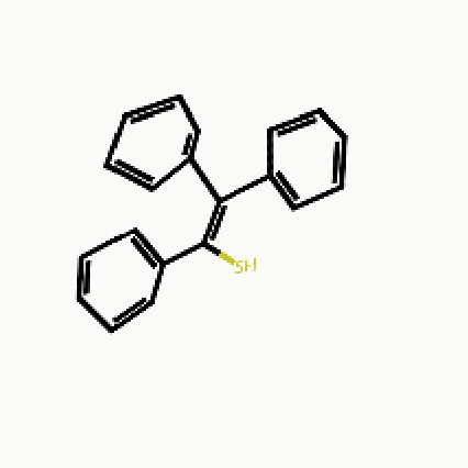 SC(=C(c1ccccc1)c1ccccc1)c1ccccc1